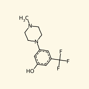 CN1CCN(c2cc(O)cc(C(F)(F)F)c2)CC1